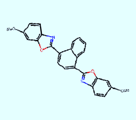 COc1ccc2nc(-c3ccc(-c4nc5ccc(OC)cc5o4)c4ccccc34)oc2c1